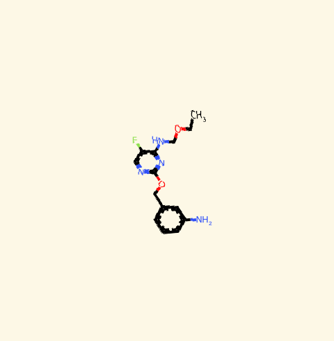 CCOCNc1nc(OCc2cccc(N)c2)ncc1F